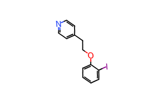 Ic1ccccc1OCCc1ccncc1